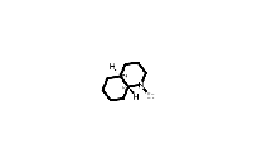 CCN1CCC[C@@H]2CCCC[C@H]21